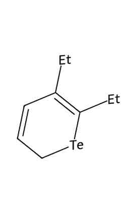 CCC1=C(CC)[Te]CC=C1